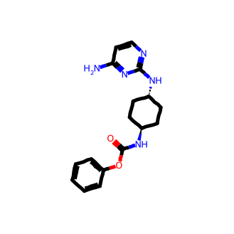 Nc1ccnc(N[C@H]2CC[C@H](NC(=O)Oc3ccccc3)CC2)n1